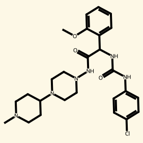 COc1ccccc1C(NC(=O)Nc1ccc(Cl)cc1)C(=O)NN1CCN(C2CCN(C)CC2)CC1